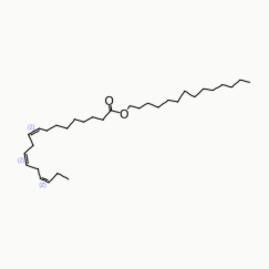 CC/C=C\C/C=C\C/C=C\CCCCCCCC(=O)OCCCCCCCCCCCCCC